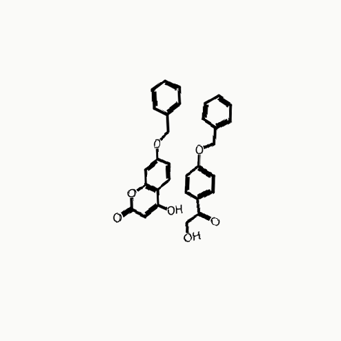 O=C(CO)c1ccc(OCc2ccccc2)cc1.O=c1cc(O)c2ccc(OCc3ccccc3)cc2o1